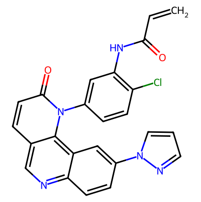 C=CC(=O)Nc1cc(-n2c(=O)ccc3cnc4ccc(-n5cccn5)cc4c32)ccc1Cl